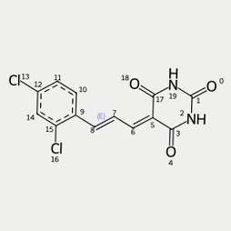 O=C1NC(=O)C(=C/C=C/c2ccc(Cl)cc2Cl)C(=O)N1